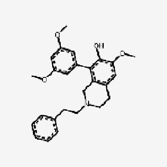 COc1cc(OC)cc(-c2c(O)c(OC)cc3c2CN(CCc2ccccc2)CC3)c1